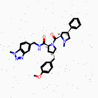 COc1ccc(C[C@@H]2C[C@@H](C(=O)NCc3ccc4c(c3)nnn4C)N(C(=O)[C@H]3C[C@@H](c4ccccc4)CN3C)C2)cc1